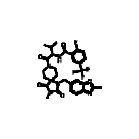 Cc1nc2ccc(CN3C(=O)N(C)C(=O)C34CCN(C(=O)C(NC(=O)c3cc(C(F)(F)F)ccc3F)C(C)C)CC4)cc2o1